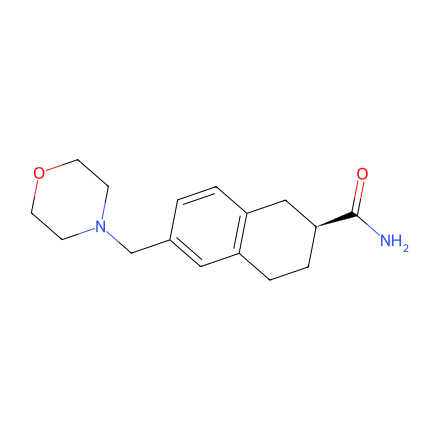 NC(=O)[C@H]1CCc2cc(CN3CCOCC3)ccc2C1